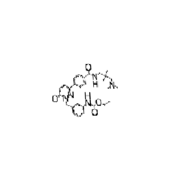 CCOC(=O)Nc1cccc(Cn2nc(-c3ccc(C(=O)NCC(C)(C)CN(C)C)cc3)ccc2=O)c1